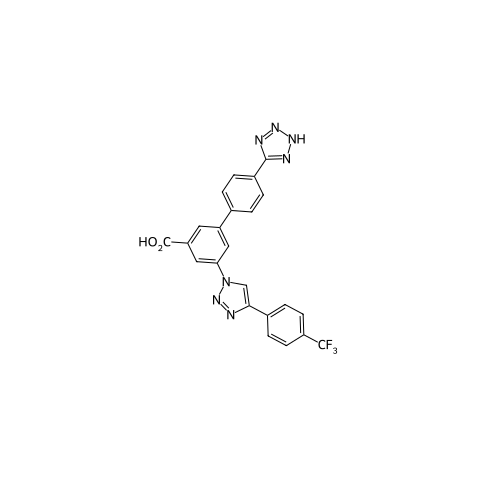 O=C(O)c1cc(-c2ccc(-c3nn[nH]n3)cc2)cc(-n2cc(-c3ccc(C(F)(F)F)cc3)nn2)c1